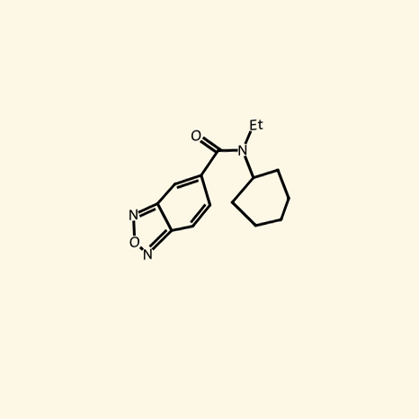 CCN(C(=O)c1ccc2nonc2c1)C1CCCCC1